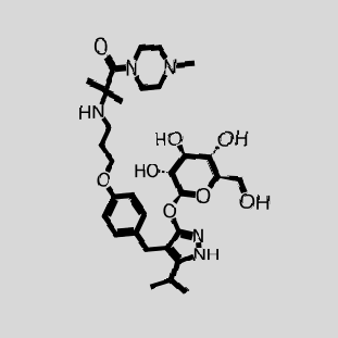 CC(C)c1[nH]nc(O[C@@H]2O[C@H](CO)[C@@H](O)[C@H](O)[C@H]2O)c1Cc1ccc(OCCCNC(C)(C)C(=O)N2CCN(C)CC2)cc1